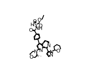 CCOC(=O)[SH](C)(=O)NC(=O)c1ccc(-c2cc(N3CCOC[C@H]3C)nc3c(-c4ccnn4C4CCCCO4)nccc23)cc1